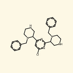 Clc1cc(C2CNCCN2Cc2ccccc2)nc(C2CNCCN2Cc2ccccc2)n1